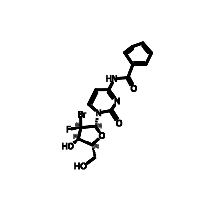 O=C(Nc1ccn([C@@H]2O[C@H](CO)[C@@H](O)[C@]2(F)Br)c(=O)n1)c1ccccc1